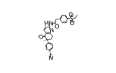 CCS(=O)(=O)c1ccc(CC(=O)Nc2ccc3c(n2)CCC(C)(c2ccc(C#N)cc2)C3=O)cc1